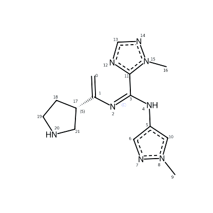 C=C(/N=C(/Nc1cnn(C)c1)c1ncnn1C)[C@H]1CCNC1